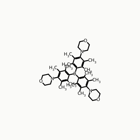 Cc1c(C)c(N2CCOCC2)c(C)c(C)c1B(c1c(C)c(C)c(N2CCOCC2)c(C)c1C)c1c(C)c(C)c(N2CCOCC2)c(C)c1C